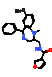 COc1ccc2c(c1)C(c1ccccc1)=NCC(CNC(=O)c1ccoc1)N2C